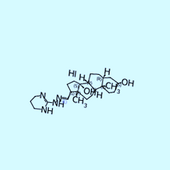 C[C@]12CC[C@H](O)C[C@H]1CC[C@@H]1[C@@H]2CC[C@]2(C)[C@@H](/C=N/NC3=NCCCN3)CC[C@]12O.I